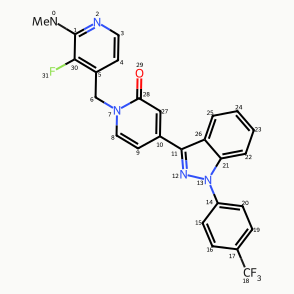 CNc1nccc(Cn2ccc(-c3nn(-c4ccc(C(F)(F)F)cc4)c4ccccc34)cc2=O)c1F